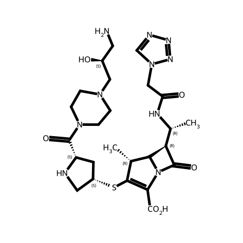 C[C@H]1C(S[C@@H]2CN[C@H](C(=O)N3CCN(C[C@@H](O)CN)CC3)C2)=C(C(=O)O)N2C(=O)[C@H]([C@@H](C)NC(=O)Cn3cnnn3)C12